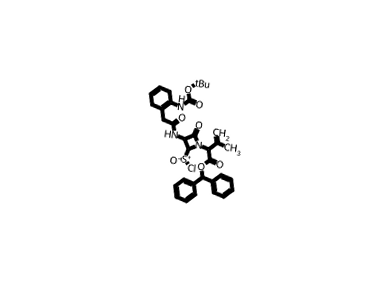 C=C(C)C(C(=O)OC(c1ccccc1)c1ccccc1)N1C(=O)C(NC(=O)CC2=C(NC(=O)OC(C)(C)C)CC=CC2)C1[S+]([O-])Cl